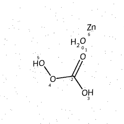 O.O=C(O)OO.[Zn]